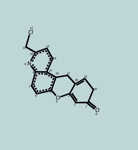 O=C1C=C2Oc3ccc4nc(CCl)ccc4c3CC2=CC1